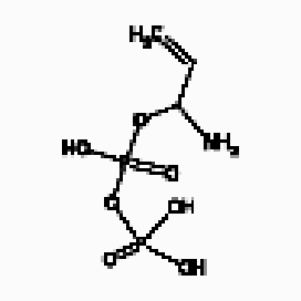 C=CC(N)OP(=O)(O)OP(=O)(O)O